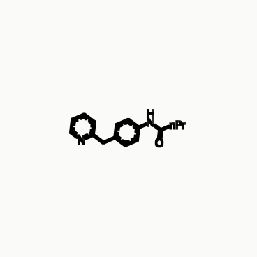 CCCC(=O)Nc1ccc(Cc2ccccn2)cc1